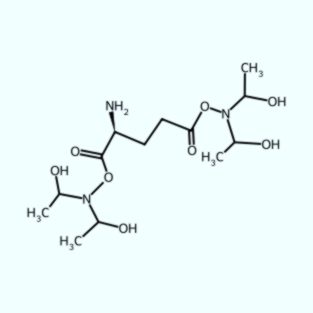 CC(O)N(OC(=O)CC[C@H](N)C(=O)ON(C(C)O)C(C)O)C(C)O